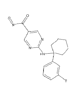 O=NC(=O)c1cnc(NC2(c3cccc(F)c3)CCCCC2)nc1